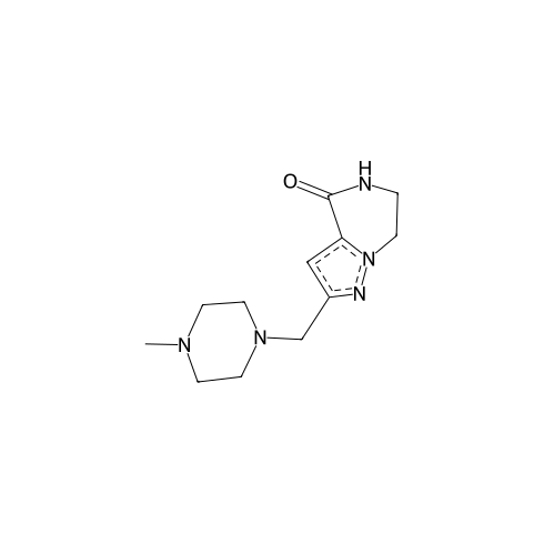 CN1CCN(Cc2cc3n(n2)CCNC3=O)CC1